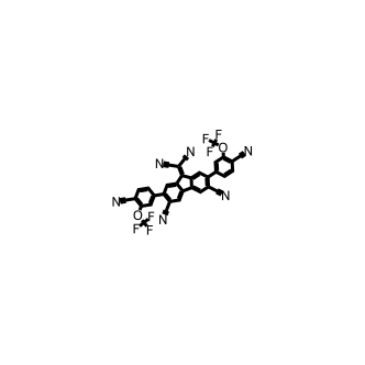 N#CC(C#N)=C1c2cc(-c3ccc(C#N)c(OC(F)(F)F)c3)c(C#N)cc2-c2cc(C#N)c(-c3ccc(C#N)c(OC(F)(F)F)c3)cc21